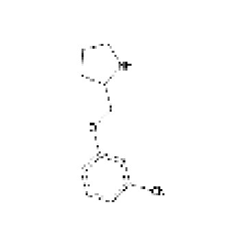 N#Cc1cccc(OCC2CCCN2)c1